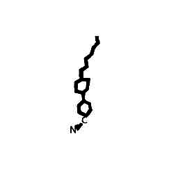 CCCCCCCC1CCC(C2CCC(CC#N)CC2)CC1